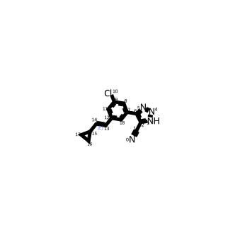 N#Cc1[nH]nnc1-c1cc(Cl)cc(/C=C/C2CC2)c1